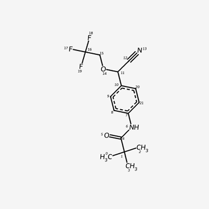 CC(C)(C)C(=O)Nc1ccc(C(C#N)OCC(F)(F)F)cc1